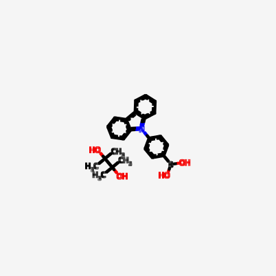 CC(C)(O)C(C)(C)O.OB(O)c1ccc(-n2c3ccccc3c3ccccc32)cc1